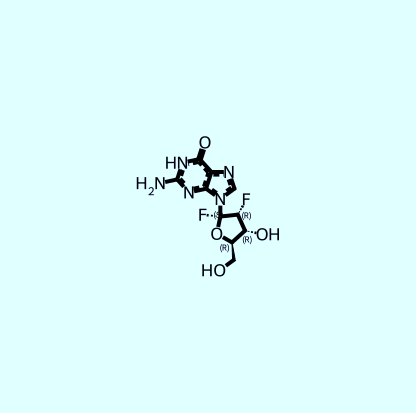 Nc1nc2c(ncn2[C@]2(F)O[C@H](CO)[C@@H](O)[C@H]2F)c(=O)[nH]1